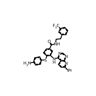 CC(C)c1ccc2c(Nc3cc(C(=O)NCCc4cccc(C(F)(F)F)c4)ccc3Sc3ccc(N)cc3)ncnc2n1